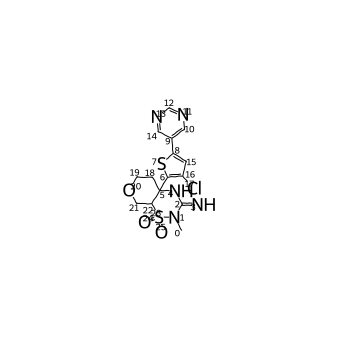 CN1C(=N)NC2(c3sc(-c4cncnc4)cc3Cl)CCOCC2S1(=O)=O